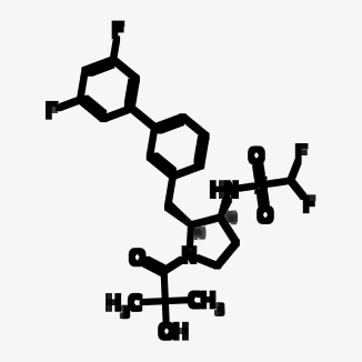 CC(C)(O)C(=O)N1CC[C@H](NS(=O)(=O)C(F)F)[C@@H]1Cc1cccc(-c2cc(F)cc(F)c2)c1